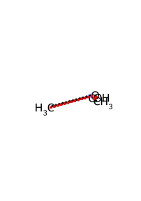 CCCCCCCCCCCCCCCCCCCCCCC/C=C\OC(CC)C(=O)O